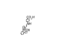 N#CC1=C(/C=C/Nc2ccc(C(=O)O)cc2)OCN1c1ccccc1Cl